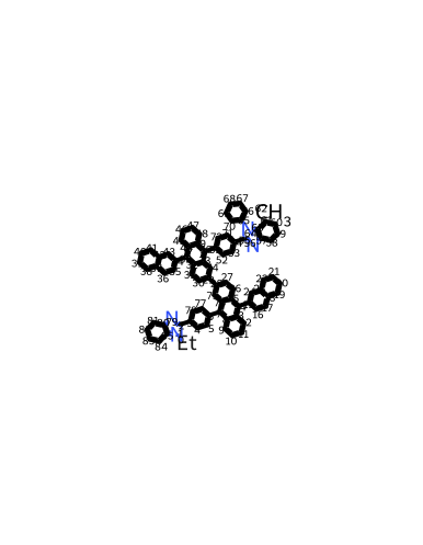 CCn1c(-c2ccc(-c3c4ccccc4c(-c4ccc5ccccc5c4)c4ccc(-c5ccc6c(-c7ccc8ccccc8c7)c7ccccc7c(-c7ccc(-c8nc9cccc(C)c9n8-c8ccccc8)cc7)c6c5)cc34)cc2)nc2ccccc21